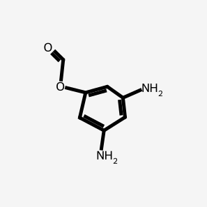 Nc1cc(N)cc(OC=O)c1